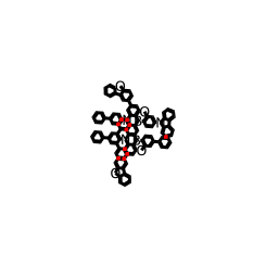 c1ccc(-c2ccc(N3c4cc5c(cc4B4c6ccc(-n7c8ccccc8c8ccccc87)cc6Oc6cc(-c7ccc8oc9ccccc9c8c7)cc3c64)B3c4ccc(-c6ccccc6)cc4Oc4cc(-c6ccc7oc8ccccc8c7c6)cc(c43)N5c3c(-c4ccccc4)cc(-c4ccccc4)cc3-c3ccccc3)cc2)cc1